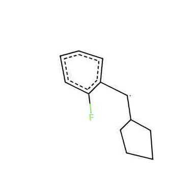 Fc1ccccc1[CH]C1CCCC1